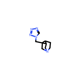 c1nnnn1CC1CN2CCC1CC2